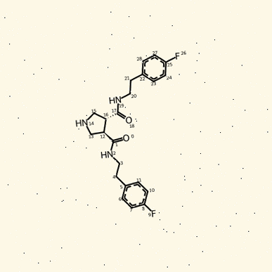 O=C(NCCc1ccc(F)cc1)[C@H]1CNC[C@@H]1C(=O)NCCc1ccc(F)cc1